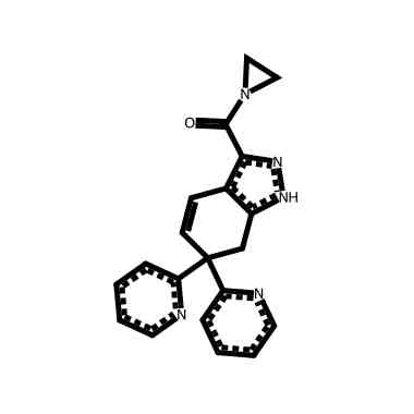 O=C(c1n[nH]c2c1C=CC(c1ccccn1)(c1ccccn1)C2)N1CC1